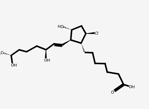 C[C@@H](O)CCC[C@H](O)C=C[C@@H]1[C@@H](CCCCCCC(=O)O)[C@H](Cl)C[C@H]1O